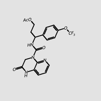 CC(=O)OCCC(NC(=O)N1CC(=O)Nc2cccnc21)c1ccc(OC(F)(F)F)cc1